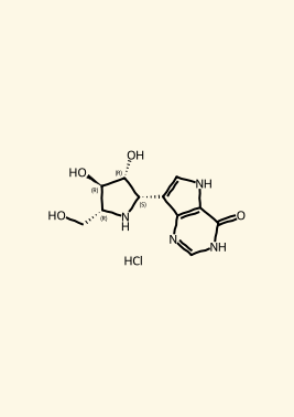 Cl.O=c1[nH]cnc2c([C@@H]3N[C@H](CO)[C@@H](O)[C@@H]3O)c[nH]c12